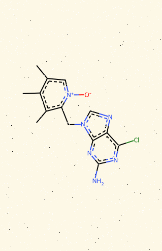 Cc1c[n+]([O-])c(Cn2cnc3c(Cl)nc(N)nc32)c(C)c1C